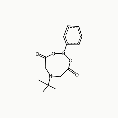 CC(C)(C)N1CC(=O)OB(c2ccccc2)OC(=O)C1